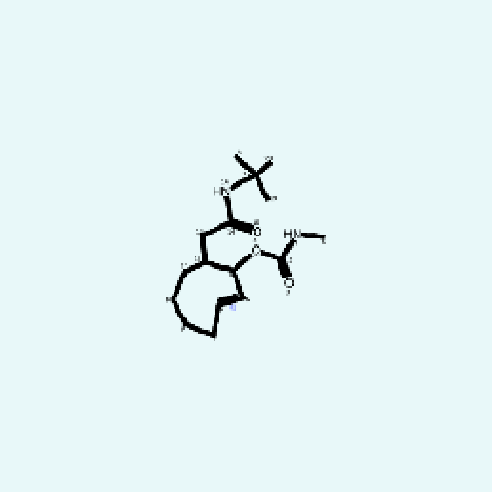 CNC(=O)OC1/C=C/CCCCC1CC(=O)NC(C)(C)C